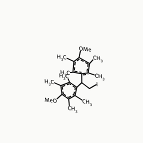 COc1c(C)c(C)c(C(CI)c2c(C)c(C)c(OC)c(C)c2C)c(C)c1C